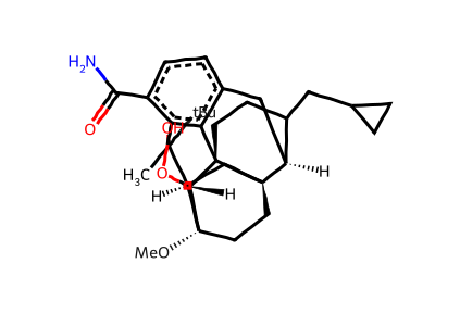 CO[C@@]12CC[C@@]3(C[C@@H]1C(C)(O)C(C)(C)C)[C@H]1Cc4ccc(C(N)=O)c5c4[C@@]3(CCC1CC1CC1)[C@H]2O5